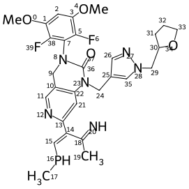 COc1cc(OC)c(F)c(N2Cc3cnc(/C(=C/PC)C(C)=N)cc3N(Cc3cnn(CC4CCCO4)c3)C2=O)c1F